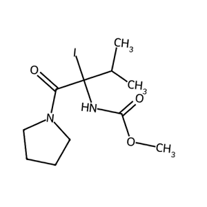 COC(=O)NC(I)(C(=O)N1CCCC1)C(C)C